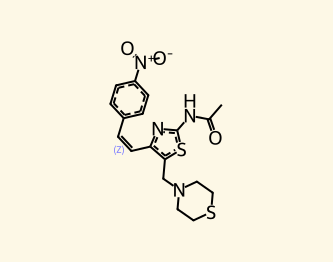 CC(=O)Nc1nc(/C=C\c2ccc([N+](=O)[O-])cc2)c(CN2CCSCC2)s1